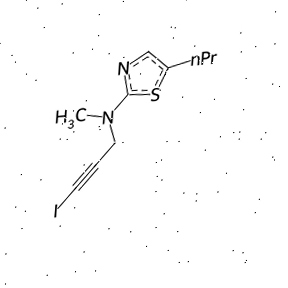 CCCc1cnc(N(C)CC#CI)s1